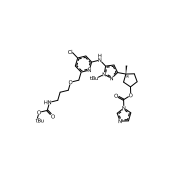 CC(C)(C)OC(=O)NCCCOCc1cc(Cl)cc(Nc2cc([C@]3(C)CCC(OC(=O)n4ccnc4)C3)nn2C(C)(C)C)n1